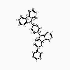 c1ccc(-c2cc3c4ccccc4n(-c4cnc(-n5c6ccccc6c6ccccc65)cn4)c3cn2)cc1